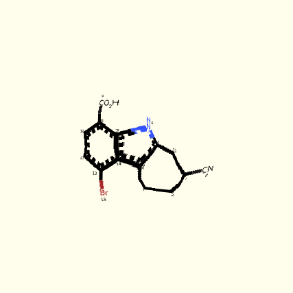 N#CC1CCc2c([nH]c3c(C(=O)O)ccc(Br)c23)C1